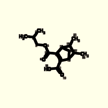 CC(C)COC(=O)C1=C(C(=O)O)C2CC1C(C)C2C